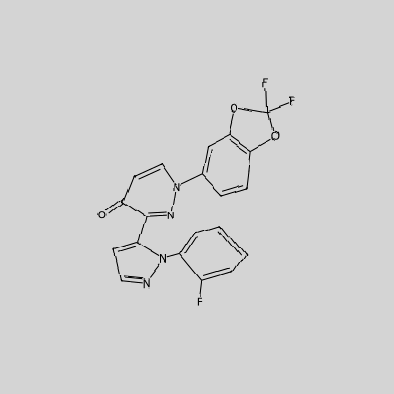 O=c1ccn(-c2ccc3c(c2)OC(F)(F)O3)nc1-c1ccnn1-c1ccccc1F